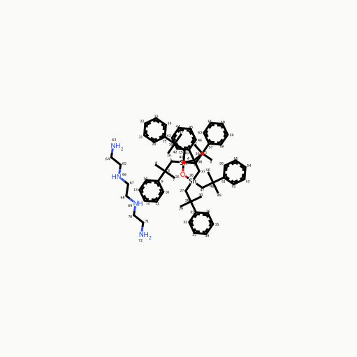 CC(C)([CH2][Sn]([CH2]C(C)(C)c1ccccc1)([CH2]C(C)(C)c1ccccc1)[O][Sn]([CH2]C(C)(C)c1ccccc1)([CH2]C(C)(C)c1ccccc1)[CH2]C(C)(C)c1ccccc1)c1ccccc1.NCCNCCNCCN